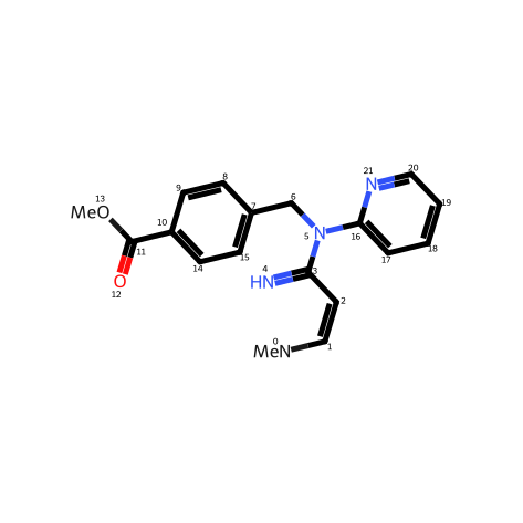 CN/C=C\C(=N)N(Cc1ccc(C(=O)OC)cc1)c1ccccn1